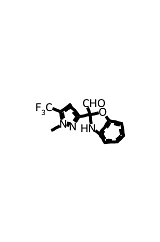 Cn1nc(C2(C=O)Nc3ccccc3O2)cc1C(F)(F)F